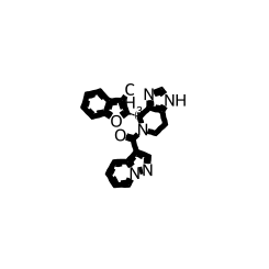 Cc1c([C@@H]2c3nc[nH]c3CCN2C(=O)c2cnn3ccccc23)oc2ccccc12